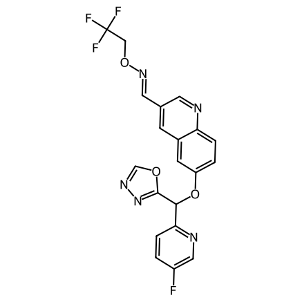 Fc1ccc(C(Oc2ccc3ncc(/C=N/OCC(F)(F)F)cc3c2)c2nnco2)nc1